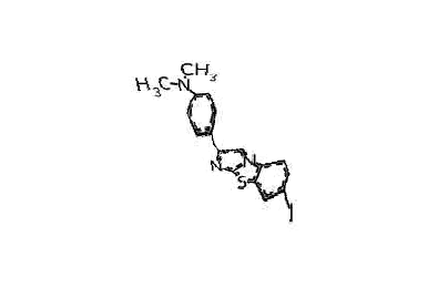 CN(C)c1ccc(-c2cn3c(n2)sc2cc(I)ccc23)cc1